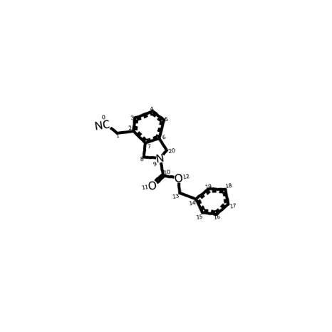 N#CCc1cccc2c1CN(C(=O)OCc1ccccc1)C2